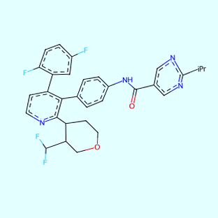 CC(C)c1ncc(C(=O)Nc2ccc(-c3c(-c4cc(F)ccc4F)ccnc3C3CCOCC3C(F)F)cc2)cn1